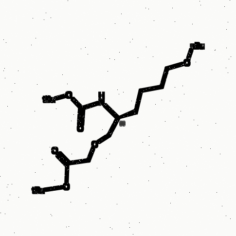 CCCCOCCCC[C@@H](COCC(=O)OC(C)(C)C)NC(=O)OC(C)(C)C